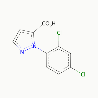 O=C(O)c1ccnn1-c1ccc(Cl)cc1Cl